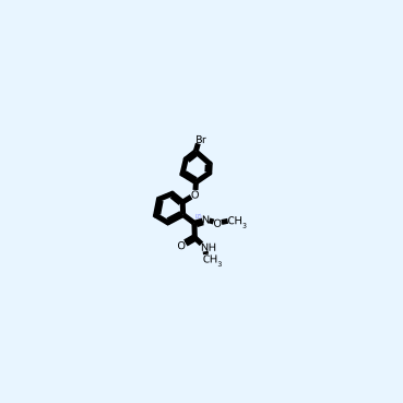 CNC(=O)/C(=N\OC)c1ccccc1Oc1ccc(Br)cc1